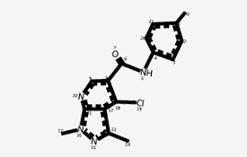 Cc1ccc(NC(=O)c2cnc3c(c(C)nn3C)c2Cl)cc1